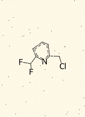 FC(F)c1cccc(CCl)n1